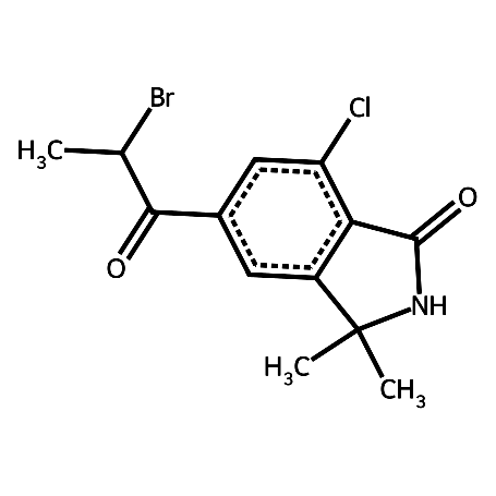 CC(Br)C(=O)c1cc(Cl)c2c(c1)C(C)(C)NC2=O